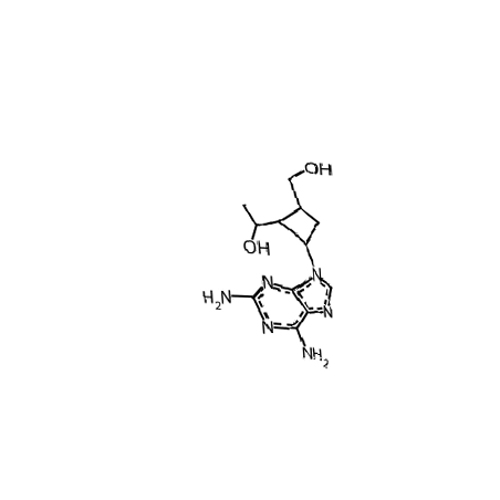 CC(O)C1C(CO)CC1n1cnc2c(N)nc(N)nc21